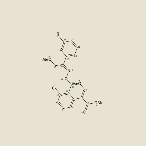 CO/C=C(/C(=O)OC)c1cccc(Cl)c1CO/N=C(\COC)c1cccc(F)c1